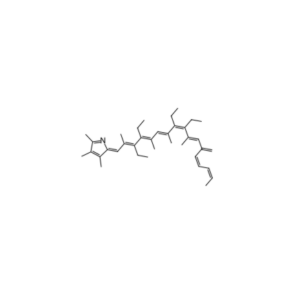 C=C(/C=C\C=C/C)/C=C(C)/C(CC)=C(CC)\C(C)=C\C(C)=C(CC)\C(CC)=C(C)\C=C1/N=C(C)C(C)=C1C